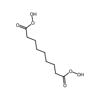 O=C(CCCCCCCC(=O)OO)OO